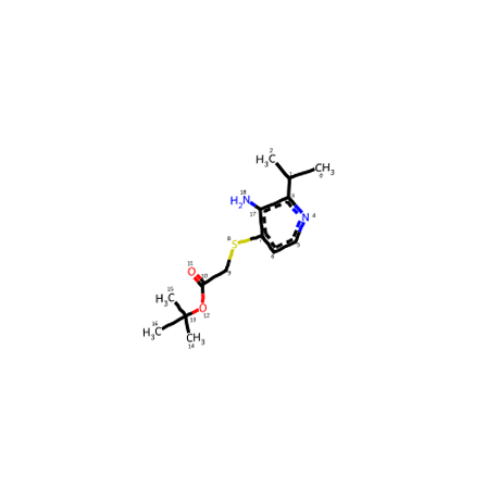 CC(C)c1nccc(SCC(=O)OC(C)(C)C)c1N